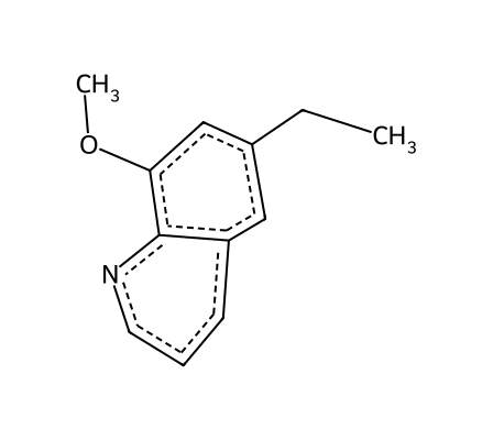 CCc1cc(OC)c2ncccc2c1